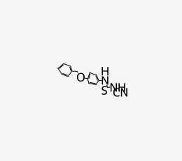 N#CNC(=S)Nc1ccc(OCc2ccccc2)cc1